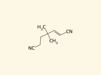 CC(C)(C=CC#N)CCC#N